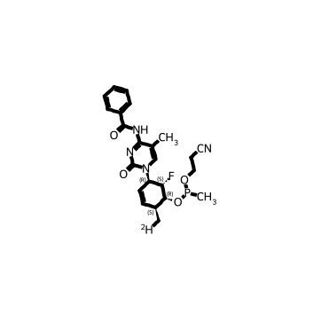 [2H]C[C@H]1C=C[C@@H](n2cc(C)c(NC(=O)c3ccccc3)nc2=O)[C@H](F)[C@@H]1OP(C)OCCC#N